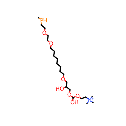 CPCCOCCOCCCCCCCCOCC(O)COC(O)OCC[N+](C)(C)C